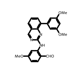 COc1cc(OC)cc(-c2cccc3cnc(Nc4cc(OC)ccc4C=O)nc23)c1